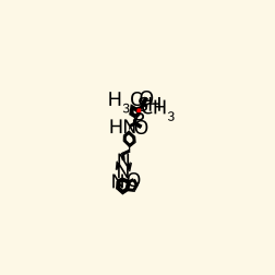 C[SH](C)(=O)c1ccc(C(=O)N[C@H]2CC[C@H](CCN3CCN(c4nccc5c4OCC5)CC3)CC2)s1